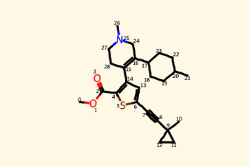 COC(=O)c1sc(C#CC2(C)CC2)cc1C1=C(C2CCC(C)CC2)CN(C)CC1